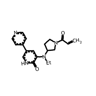 C=CC(=O)N1CCC(N(CC)c2cc(-c3ccncc3)c[nH]c2=O)C1